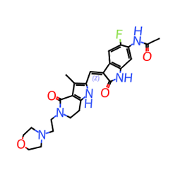 CC(=O)Nc1cc2c(cc1F)/C(=C/c1[nH]c3c(c1C)C(=O)N(CCN1CCOCC1)CC3)C(=O)N2